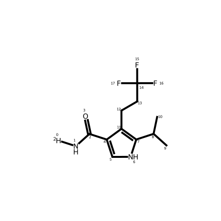 [2H]NC(=O)c1c[nH]c(C(C)C)c1CCC(F)(F)F